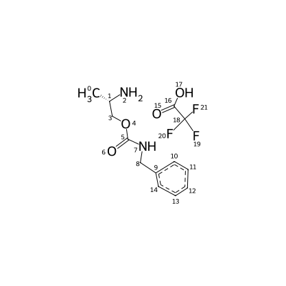 C[C@H](N)COC(=O)NCc1ccccc1.O=C(O)C(F)(F)F